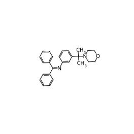 CC(C)(c1cccc(N=C(c2ccccc2)c2ccccc2)c1)N1CCOCC1